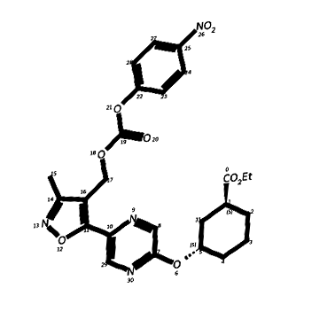 CCOC(=O)[C@H]1CCC[C@H](Oc2cnc(-c3onc(C)c3COC(=O)Oc3ccc([N+](=O)[O-])cc3)cn2)C1